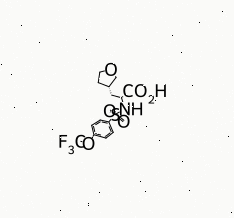 O=C(O)[C@@H](C[C@@H]1CCOC1)NS(=O)(=O)c1ccc(OC(F)(F)F)cc1